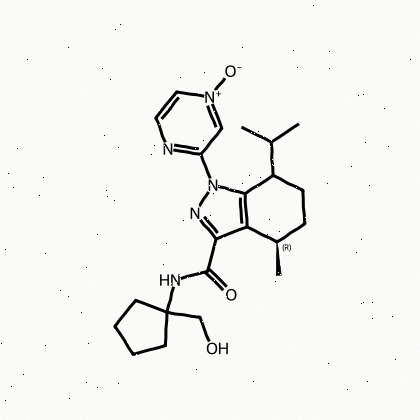 CC(C)C1CC[C@@H](C)c2c(C(=O)NC3(CO)CCCC3)nn(-c3c[n+]([O-])ccn3)c21